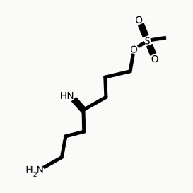 CS(=O)(=O)OCCCC(=N)CCCN